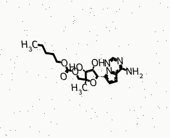 CCCCCOC(=O)OC[C@@]1(C)O[C@@H](c2ccc3c(N)ncnn23)[C@H](O)[C@@H]1O